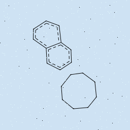 C1CCCCCCC1.c1ccc2ccccc2c1